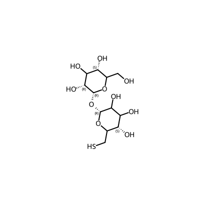 OCC1O[C@H](O[C@H]2OC(CS)[C@@H](O)C(O)C2O)[C@H](O)C(O)[C@@H]1O